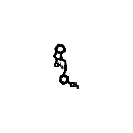 Cc1cccc(C#CCN2c3ccccc3CC2C)c1